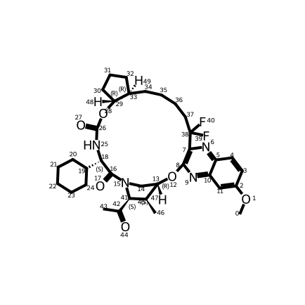 COc1ccc2nc3c(nc2c1)O[C@H]1CN(C(=O)[C@H](C2CCCCC2)NC(=O)O[C@@H]2CCC[C@H]2CCCCC3(F)F)[C@H](C(C)=O)[C@@H]1C